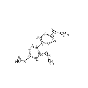 COc1ccc(-c2ccc(CO)cc2OC)cc1